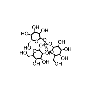 O=P(O[C@H]1O[C@H](CO)[C@@H](O)[C@H](O)[C@H]1O)(O[C@H]1O[C@H](CO)[C@@H](O)[C@H](O)[C@H]1O)O[C@H]1O[C@H](CO)[C@@H](O)[C@H](O)[C@H]1O